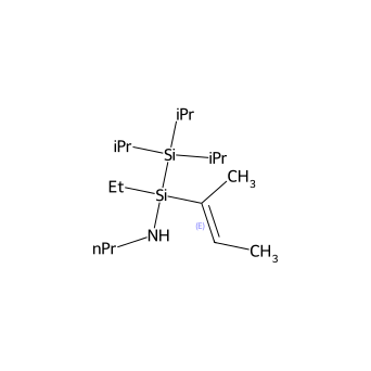 C/C=C(\C)[Si](CC)(NCCC)[Si](C(C)C)(C(C)C)C(C)C